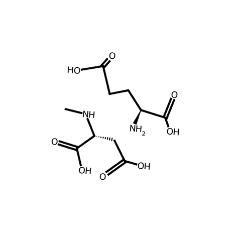 CN[C@H](CC(=O)O)C(=O)O.N[C@@H](CCC(=O)O)C(=O)O